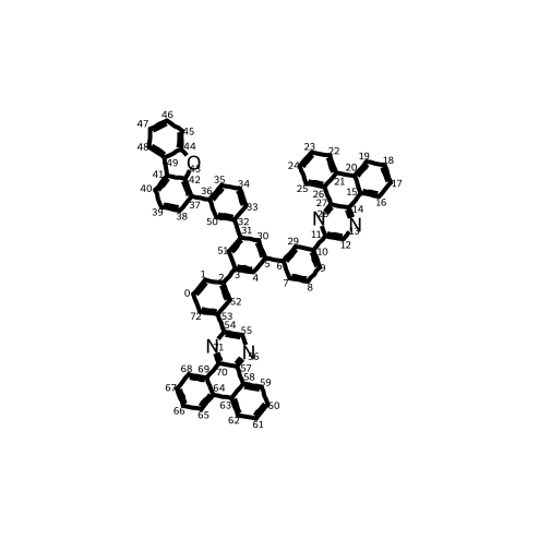 c1cc(-c2cc(-c3cccc(-c4cnc5c6ccccc6c6ccccc6c5n4)c3)cc(-c3cccc(-c4cccc5c4oc4ccccc45)c3)c2)cc(-c2cnc3c4ccccc4c4ccccc4c3n2)c1